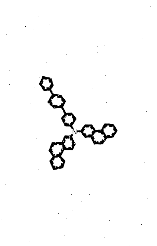 c1ccc(-c2ccc(-c3ccc(N(c4ccc5c(ccc6ccccc65)c4)c4ccc5c(ccc6ccccc65)c4)cc3)cc2)cc1